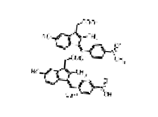 CC1=C(CC(=O)[O-])c2cc(C#N)ccc2/C1=C/c1ccc([S+](C)[O-])cc1.CC1=C(CC(=O)[O-])c2cc(C#N)ccc2/C1=C/c1ccc([S+](C)[O-])cc1.[Ca+2]